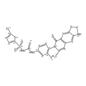 Cc1nc2cc3c(cc2c(=O)n1-c1ccc(NC(=O)NS(=O)(=O)c2ccc(Cl)s2)cc1F)CCN3